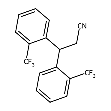 N#CCC(c1ccccc1C(F)(F)F)c1ccccc1C(F)(F)F